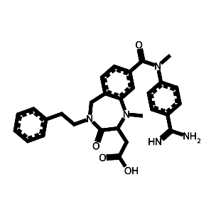 CN(C(=O)c1ccc2c(c1)N(C)C(CC(=O)O)C(=O)N(CCc1ccccc1)C2)c1ccc(C(=N)N)cc1